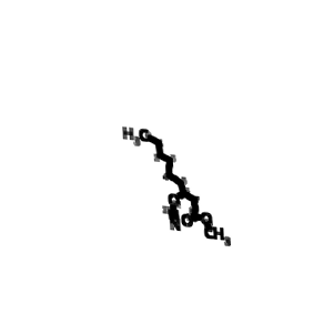 CCCCCCC(CC(=O)OC)OC#N